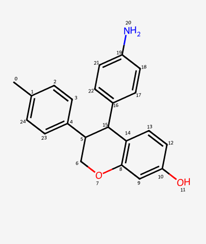 Cc1ccc(C2COc3cc(O)ccc3C2c2ccc(N)cc2)cc1